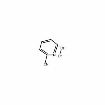 CCO.N#Cc1ccccn1